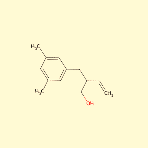 C=CC(CO)Cc1cc(C)cc(C)c1